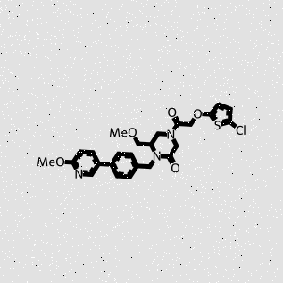 COCC1CN(C(=O)COc2ccc(Cl)s2)CC(=O)N1Cc1ccc(-c2ccc(OC)nc2)cc1